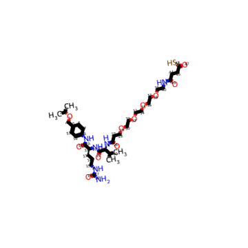 CC(C)OCc1ccc(NC(=O)[C@H](CCCNC(N)=O)NC(=O)[C@@H](NC(=O)CCOCCOCCOCCOCCNC(=O)CCC(=O)S)C(C)C)cc1